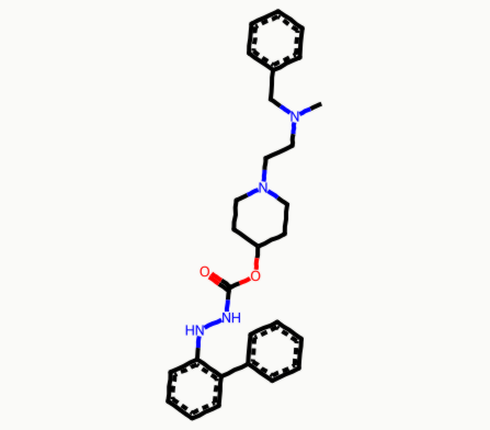 CN(CCN1CCC(OC(=O)NNc2ccccc2-c2ccccc2)CC1)Cc1ccccc1